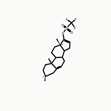 C[C@H]1CCC2(C)C(=CCC3C2CC[C@]2(C)C(OS(=O)(=O)C(F)(F)F)=CCC32)C1